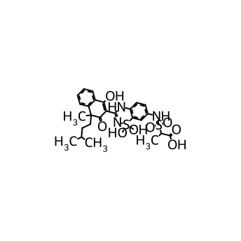 CC(C)CCC1(C)C(=O)C(C2=NS(O)(O)c3cc(NS(=O)(=O)C(C)C(=O)O)ccc3N2)=C(O)c2ccccc21